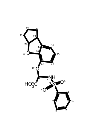 O=C(O)C(NS(=O)(=O)c1ccccc1)Oc1cccc2c1OC1CCCC21